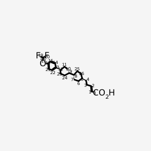 O=C(O)/C=C/CC[C@H]1CC[C@H]([C@H]2CC[C@H](c3ccc(OC(F)F)cc3)CC2)CC1